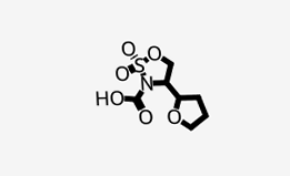 O=C(O)N1C(C2CCCO2)COS1(=O)=O